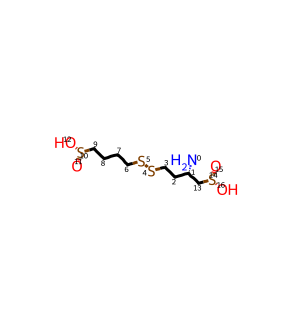 N[C@@H](CCSSCCCCS(=O)O)CS(=O)O